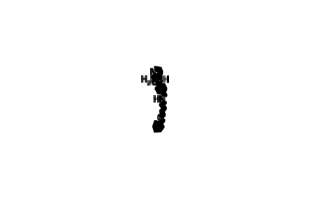 Nc1ncccc1NC(=O)c1ccc(CNCCCCCOCc2ccccc2)cc1